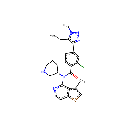 COCc1c(-c2ccc(C(=O)N(c3nccc4scc(C)c34)[C@@H]3CCCNC3)c(F)c2)nnn1C